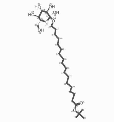 CC(C)(C)OC(=O)CCCCCCCCCCCCCCCCCO[C@@]1(O)O[C@H](CO)[C@@H](O)[C@H](O)[C@H]1O